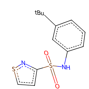 CC(C)(C)c1cccc(NS(=O)(=O)c2ccsn2)c1